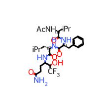 CC(=O)N[C@H](C(=O)N[C@@H](Cc1ccccc1)C(=O)N[C@@H](CC(C)C)C(=O)NC(CCC(N)=O)C(O)C(F)(F)F)C(C)C